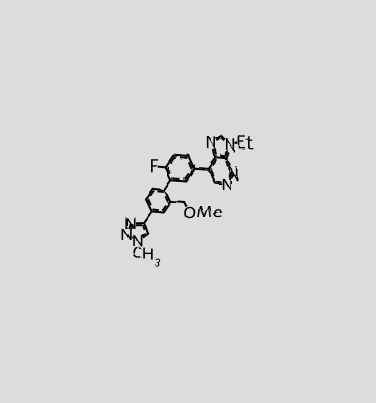 CCn1cnc2c(-c3ccc(F)c(-c4ccc(-c5cn(C)nn5)cc4COC)c3)cnnc21